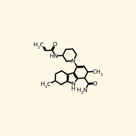 C=CC(=O)NC1CCCN(C2=CC(C)C(C(N)=O)c3[nH]c4c(c32)CCC(C)C4)C1